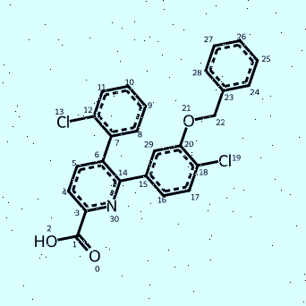 O=C(O)c1ccc(-c2ccccc2Cl)c(-c2ccc(Cl)c(OCc3ccccc3)c2)n1